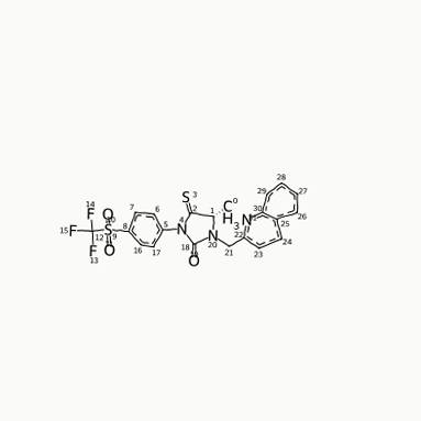 C[C@H]1C(=S)N(c2ccc(S(=O)(=O)C(F)(F)F)cc2)C(=O)N1Cc1ccc2ccccc2n1